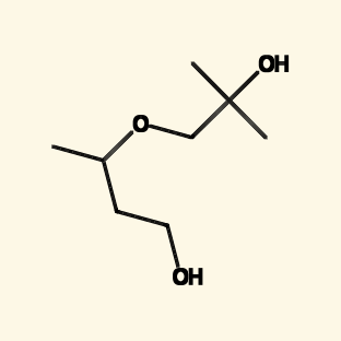 CC(CCO)OCC(C)(C)O